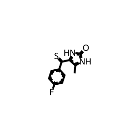 Cc1[nH]c(=O)[nH]c1C(=S)c1ccc(F)cc1